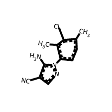 Cc1ccc(-n2ncc(C#N)c2N)c(C)c1Cl